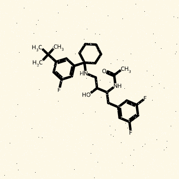 CC(=O)NC(Cc1cc(F)cc(F)c1)C(O)CNC1(c2cc(F)cc(C(C)(C)C)c2)CCCCC1